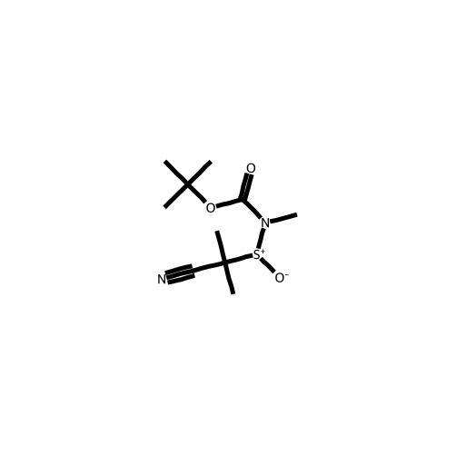 CN(C(=O)OC(C)(C)C)[S+]([O-])C(C)(C)C#N